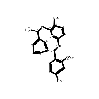 COc1ccc(CNc2ccc([N+](=O)[O-])c(N[C@H](C)c3cccnc3)n2)c(OC)c1